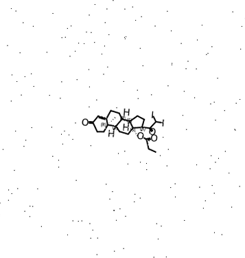 CCC(=O)O[C@@]1(C(=O)C(I)I)CC[C@H]2[C@@H]3CCC4=CC(=O)CC[C@]4(C)[C@H]3CC[C@@]21C